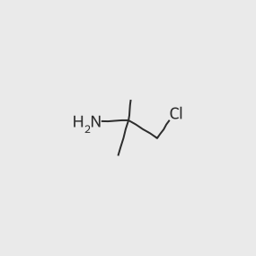 CC(C)(N)CCl